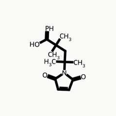 CC(C)(CC(C)(C)N1C(=O)C=CC1=O)C(O)=P